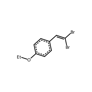 CCOc1ccc(C=C(Br)Br)cc1